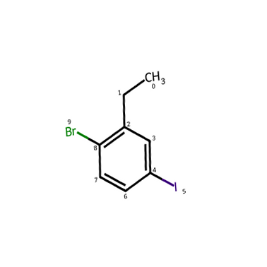 CCc1cc(I)ccc1Br